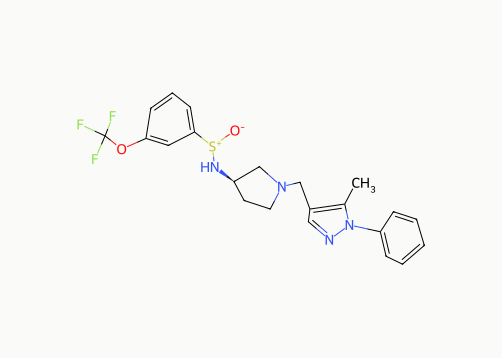 Cc1c(CN2CC[C@@H](N[S+]([O-])c3cccc(OC(F)(F)F)c3)C2)cnn1-c1ccccc1